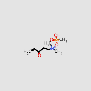 C=CC(=O)CC[N+](C)(C)OP(C)(=O)O